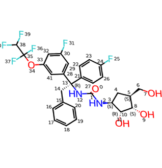 O=C(N[C@H]1C[C@@H](CO)[C@H](O)[C@@H]1O)N[C@](Cc1ccccc1)(c1ccc(F)cc1)c1cc(F)cc(OC(F)(F)C(F)F)c1